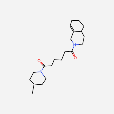 CC1CCN(C(=O)CCCCC(=O)N2CCC3CCCC=C3C2)CC1